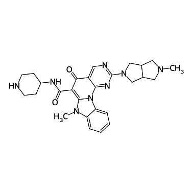 CN1CC2CN(c3ncc4c(=O)c(C(=O)NC5CCNCC5)c5n(C)c6ccccc6n5c4n3)CC2C1